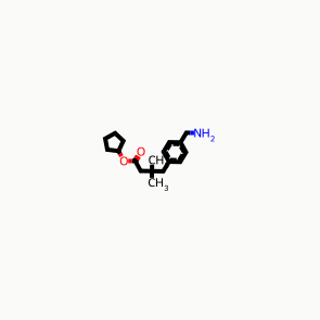 CC(C)(CC(=O)OC1CCCC1)Cc1ccc(CN)cc1